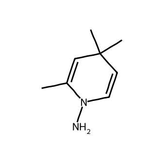 CC1=CC(C)(C)C=CN1N